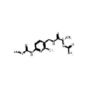 Cc1nc(NC(=O)OC(C)(C)C)ccc1CNC(=O)[C@H](C)OC(N)=O